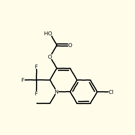 CCN1c2ccc(Cl)cc2C=C(OC(=O)O)C1C(F)(F)F